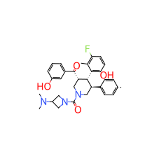 Cc1c(F)cccc1[C@H]1[C@@H](C(=O)c2cccc(O)c2)CN(C(=O)N2CC(N(C)C)C2)C[C@@H]1c1cc[c]cc1O